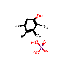 CC(C)c1cc(O)c(C(C)(C)C)c(C(C)C)c1C(C)C.O=P(O)(O)O